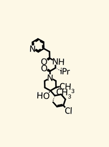 CC(C)[C@@H](NC(=O)Cc1cccnc1)C(=O)N1CC[C@](O)([C@H]2CC=C(Cl)CC2)C(C)(C)C1